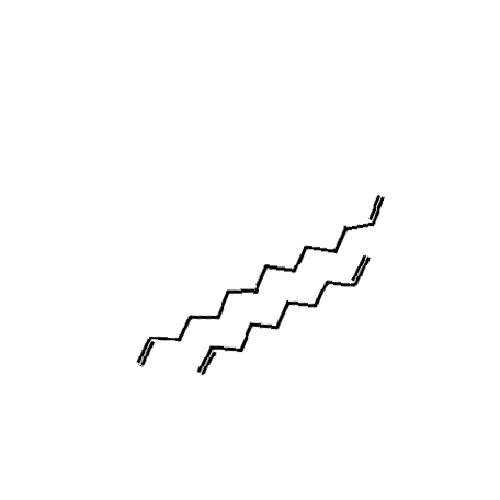 C=CCCCCCCC=C.C=CCCCCCCCCCCC=C